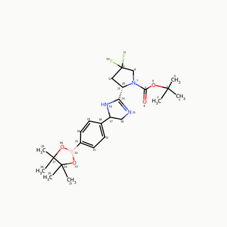 CC(C)(C)OC(=O)N1CC(F)(F)C[C@H]1C1=NCC(c2ccc(B3OC(C)(C)C(C)(C)O3)cc2)N1